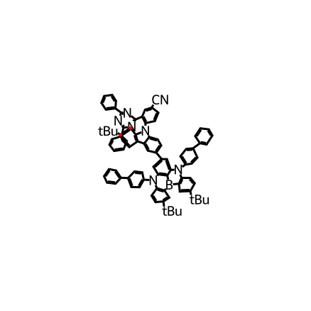 CC(C)(C)c1ccc2c(c1)B1c3cc(C(C)(C)C)ccc3N(c3ccc(-c4ccccc4)cc3)c3cc(-c4ccc5c(c4)c4ccc(C(C)(C)C)cc4n5-c4ccc(C#N)cc4-c4nc(-c5ccccc5)nc(-c5ccccc5)n4)cc(c31)N2c1ccc(-c2ccccc2)cc1